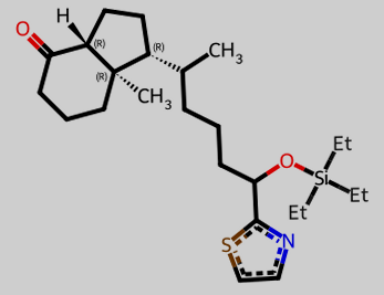 CC[Si](CC)(CC)OC(CCCC(C)[C@H]1CC[C@H]2C(=O)CCC[C@]12C)c1nccs1